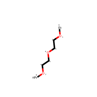 [CH2]COCCOCCOCCC